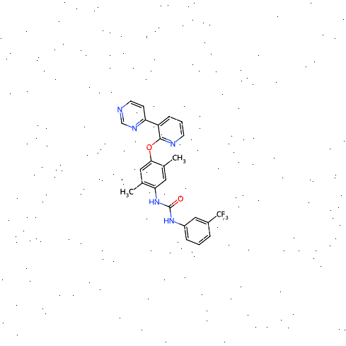 Cc1cc(Oc2ncccc2-c2ccncn2)c(C)cc1NC(=O)Nc1cccc(C(F)(F)F)c1